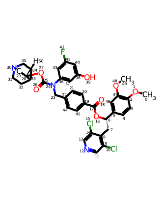 COc1ccc([C@H](Cc2c(Cl)cncc2Cl)OC(=O)c2ccc(CN(C(=O)O[C@H]3CN4CCC3CC4)c3cc(O)cc(F)c3)cc2)cc1OC